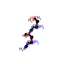 Cc1nc(C2CCN(C)CC2)sc1-c1cnc(N)c(OCc2cccc(C#CC(C)(CCN3CCC(c4nc(C)c(-c5cnc(N)c(OCc6cccc(C#CC(C)(C)O)c6)c5)s4)CC3)OC3CCCCO3)c2)c1